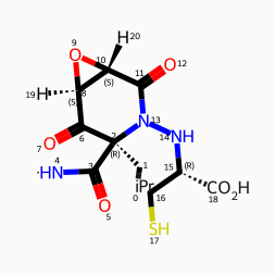 CC(C)C[C@]1(C([NH])=O)C(=O)[C@H]2O[C@@H]2C(=O)N1N[C@@H](CS)C(=O)O